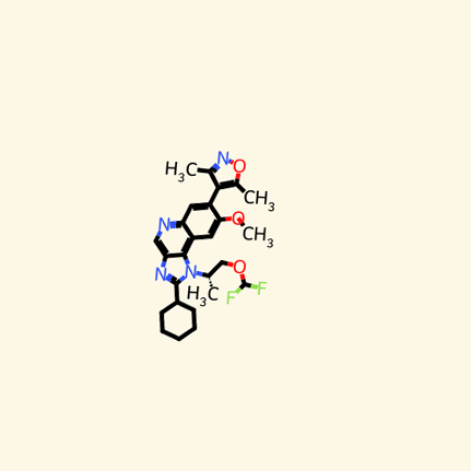 COc1cc2c(cc1-c1c(C)noc1C)ncc1nc(C3CCCCC3)n([C@@H](C)COC(F)F)c12